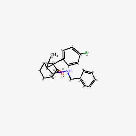 CC1(c2ccc(Br)cc2)C2CCC(C(=O)C2)C1NCc1ccccc1